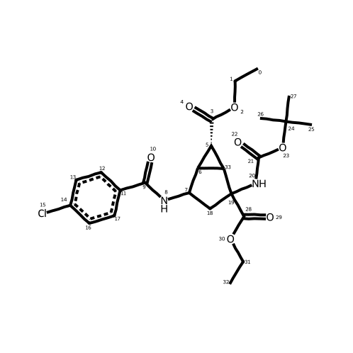 CCOC(=O)[C@H]1C2C(NC(=O)c3ccc(Cl)cc3)CC(NC(=O)OC(C)(C)C)(C(=O)OCC)C21